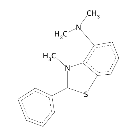 CN(C)c1cccc2c1N(C)C(c1ccccc1)S2